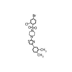 Cc1ccc(-c2csc(N3CCN(S(=O)(=O)c4ccc(Br)cc4Cl)CC3)n2)cc1C